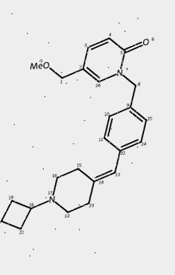 COCc1ccc(=O)n(Cc2ccc(C=C3CCN(C4CCC4)CC3)cc2)c1